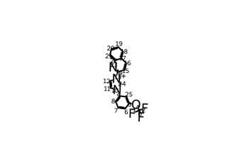 FC(F)(F)Oc1cccc(-n2cc[n+](-c3ccc4ccccc4n3)c2)c1